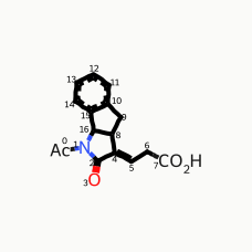 CC(=O)N1C(=O)/C(=C/CC(=O)O)C2Cc3ccccc3C21